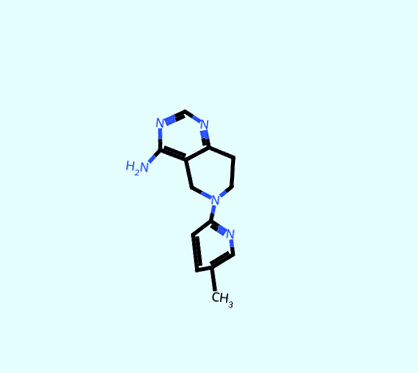 Cc1ccc(N2CCc3ncnc(N)c3C2)nc1